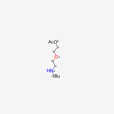 CC(=O)OCCOCCNC(C)(C)C